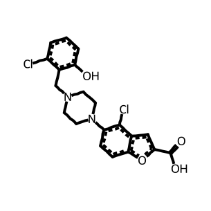 O=C(O)c1cc2c(Cl)c(N3CCN(Cc4c(O)cccc4Cl)CC3)ccc2o1